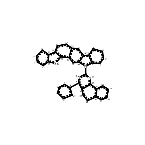 c1ccc(-c2nc(-n3c4ccccc4c4cc5ccc6c7ccccc7sc6c5cc43)nc3c2ccc2ccccc23)cc1